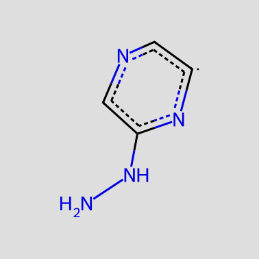 NNc1cnc[c]n1